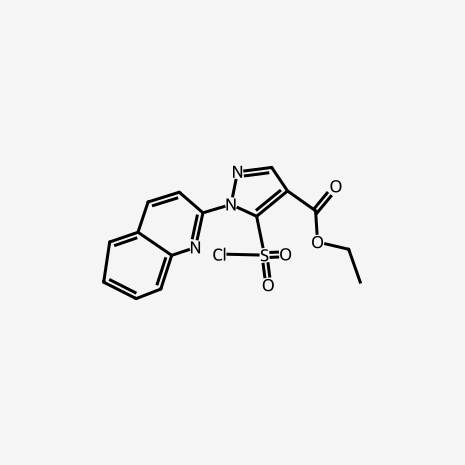 CCOC(=O)c1cnn(-c2ccc3ccccc3n2)c1S(=O)(=O)Cl